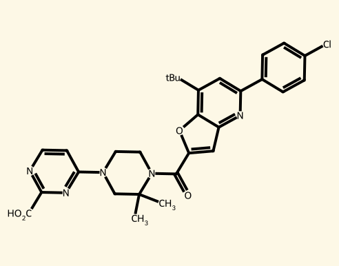 CC(C)(C)c1cc(-c2ccc(Cl)cc2)nc2cc(C(=O)N3CCN(c4ccnc(C(=O)O)n4)CC3(C)C)oc12